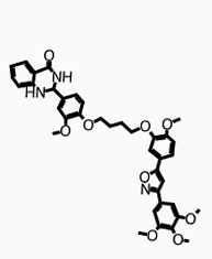 COc1cc(C2NC(=O)c3ccccc3N2)ccc1OCCCCOc1cc(-c2cc(-c3cc(OC)c(OC)c(OC)c3)no2)ccc1OC